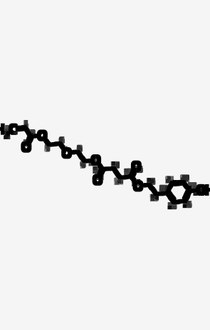 C=CC(=O)OCCOCCOC(=O)CCC(=O)OCCc1ccc(O)cc1